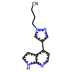 N#CCCCn1cc(-c2ccnc3[nH]ccc23)cn1